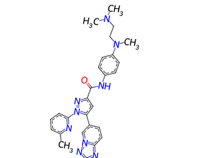 Cc1cccc(-n2nc(C(=O)Nc3ccc(N(C)CCN(C)C)cc3)cc2-c2ccc3ncnn3c2)n1